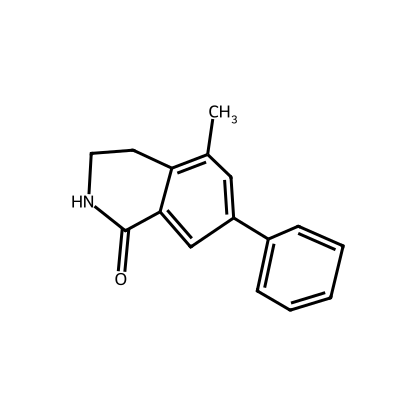 Cc1cc(-c2ccccc2)cc2c1CCNC2=O